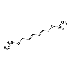 C[SiH2]OCC=CC=CCO[SiH2]C